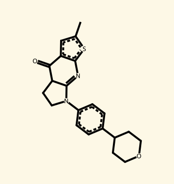 Cc1cc2c(s1)N=C1C(CCN1c1ccc(C3CCOCC3)cc1)C2=O